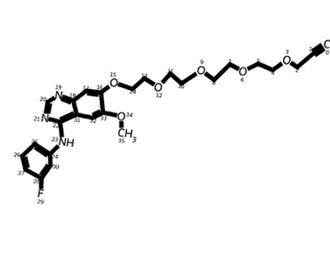 C#CCOCCOCCOCCOCCOc1cc2ncnc(Nc3cccc(F)c3)c2cc1OC